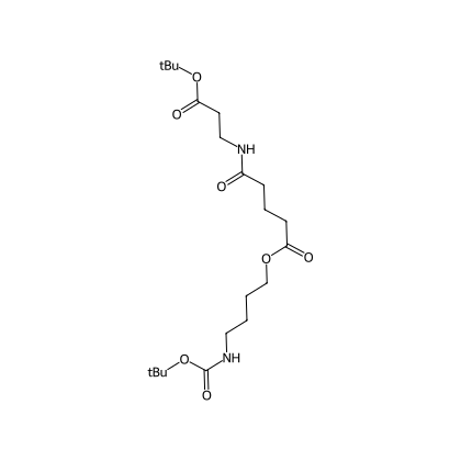 CC(C)(C)OC(=O)CCNC(=O)CCCC(=O)OCCCCNC(=O)OC(C)(C)C